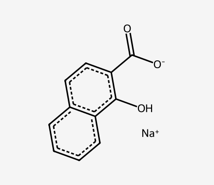 O=C([O-])c1ccc2ccccc2c1O.[Na+]